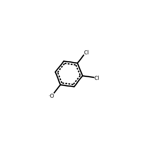 [O]c1ccc(Cl)c(Cl)c1